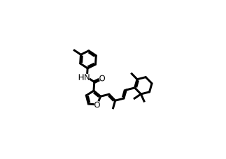 CC(C=CC1=C(C)CCCC1(C)C)=Cc1occc1C(=O)Nc1cccc(C)c1